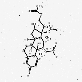 CC(=O)OCC(=O)[C@@]1(O[N+](=O)[O-])[C@H](C)C[C@H]2[C@@H]3CCC4=CC(=O)C=C[C@]4(C)C3(F)[C@@H](O[N+](=O)[O-])C[C@@]21C